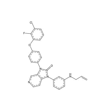 C=CCNc1cccc(-n2c(=O)n(-c3ccc(Oc4cccc(Cl)c4F)cc3)c3cnccc32)c1